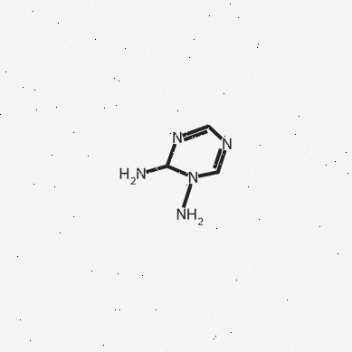 NC1N=CN=CN1N